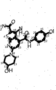 NC(=O)c1sc2nc(N3CCC(O)CC3)cc(C(=O)Nc3ccc(O)cc3)c2c1N